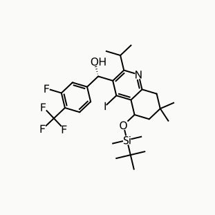 CC(C)c1nc2c(c(I)c1[C@@H](O)c1ccc(C(F)(F)F)c(F)c1)C(O[Si](C)(C)C(C)(C)C)CC(C)(C)C2